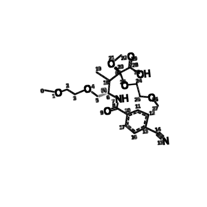 COCCOC[C@@H](NC(=O)c1ccc(C#N)cc1)C(C)[C@@](OC)(OCCOC)C(=O)O